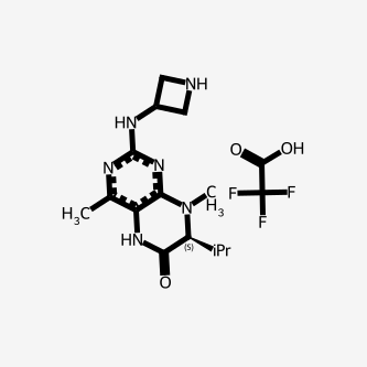 Cc1nc(NC2CNC2)nc2c1NC(=O)[C@H](C(C)C)N2C.O=C(O)C(F)(F)F